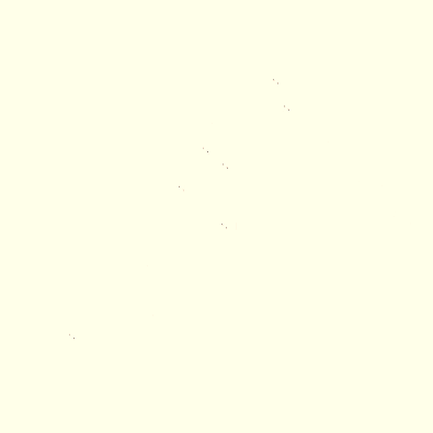 FC(F)(F)Oc1cccc(Cn2cc(-c3cccc4nc(Nc5ccc(OCCN6CCCC6)cc5)nn34)cn2)c1